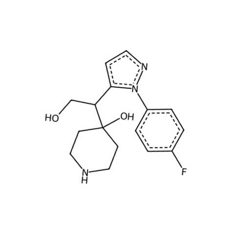 OCC(c1ccnn1-c1ccc(F)cc1)C1(O)CCNCC1